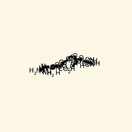 C[C@H](CSSCCOC(=O)CC[C@H](NC(=O)c1ccc(NCc2cnc3nc(N)nc(N)c3n2)cc1)C(=O)O)NC(=O)[C@H](CCC(=O)NC[C@H](O)[C@@H](O)[C@H](O)[C@H](O)CO)NC(=O)[C@@H](C)CCC(=O)O